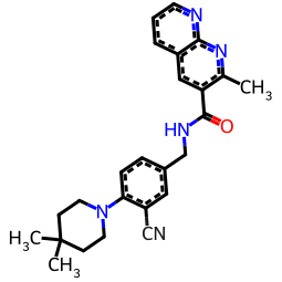 Cc1nc2ncccc2cc1C(=O)NCc1ccc(N2CCC(C)(C)CC2)c(C#N)c1